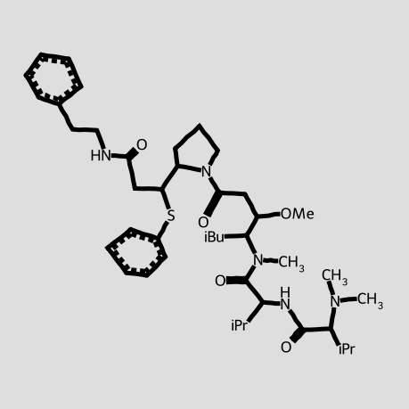 CCC(C)C(C(CC(=O)N1CCCC1C(CC(=O)NCCc1ccccc1)Sc1ccccc1)OC)N(C)C(=O)C(NC(=O)C(C(C)C)N(C)C)C(C)C